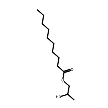 [CH2]C(O)COC(=O)CCCCCCCCC